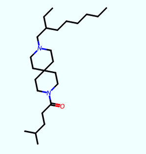 CCCCCCC(CC)CN1CCC2(CC1)CCN(C(=O)CCC(C)C)CC2